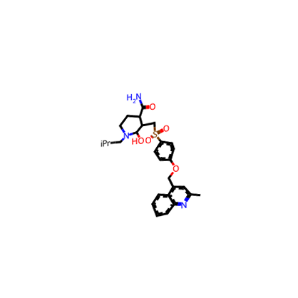 Cc1cc(COc2ccc(S(=O)(=O)CC3C(C(N)=O)CCN(CC(C)C)C3O)cc2)c2ccccc2n1